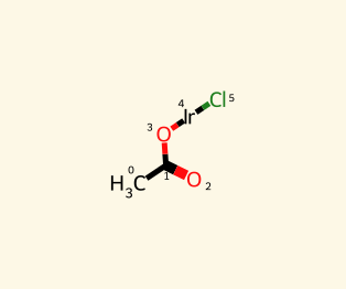 CC(=O)[O][Ir][Cl]